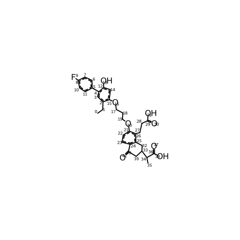 CCc1cc(-c2ccc(F)cc2)c(O)cc1OCCCOc1ccc2c(c1CCC(=O)O)CC(C(C)C(=O)O)CC2=O